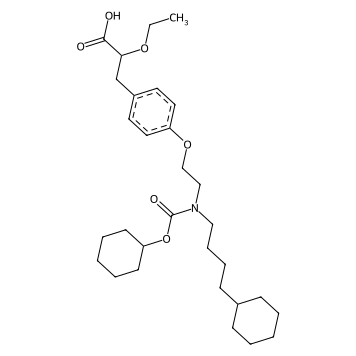 CCOC(Cc1ccc(OCCN(CCCCC2CCCCC2)C(=O)OC2CCCCC2)cc1)C(=O)O